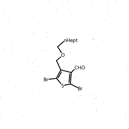 CCCCCCCCOCc1c(Br)sc(Br)c1C=O